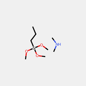 CCC[Si](OC)(OC)OC.CNC